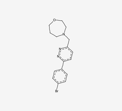 Brc1ccc(-c2ccc(CN3CCCOCC3)nn2)cc1